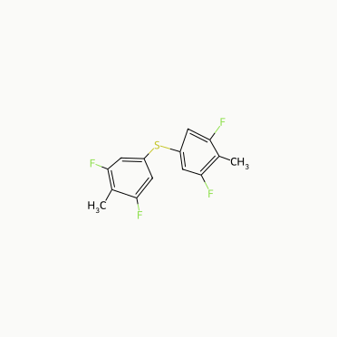 Cc1c(F)cc(Sc2cc(F)c(C)c(F)c2)cc1F